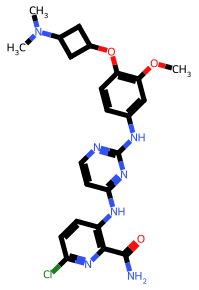 COc1cc(Nc2nccc(Nc3ccc(Cl)nc3C(N)=O)n2)ccc1OC1CC(N(C)C)C1